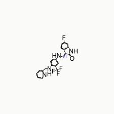 O=C1Nc2cc(F)ccc2/C1=C\Nc1ccc(NCc2ccccn2)c(C(F)(F)F)c1